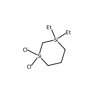 CC[Si]1(CC)CCC[Si](Cl)(Cl)C1